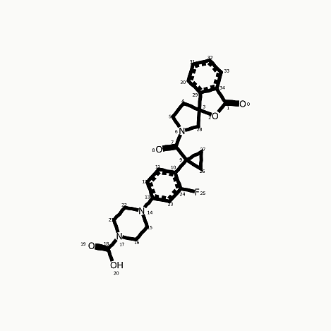 O=C1OC2(CCN(C(=O)C3(c4ccc(N5CCN(C(=O)O)CC5)cc4F)CC3)C2)c2ccccc21